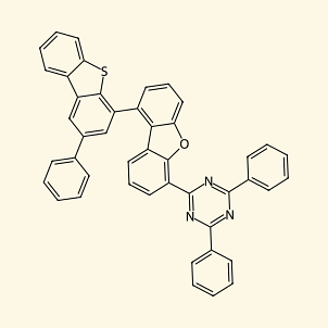 c1ccc(-c2cc(-c3cccc4oc5c(-c6nc(-c7ccccc7)nc(-c7ccccc7)n6)cccc5c34)c3sc4ccccc4c3c2)cc1